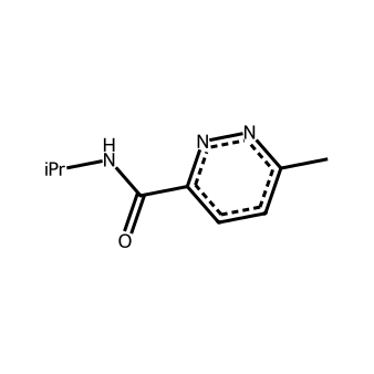 Cc1ccc(C(=O)NC(C)C)nn1